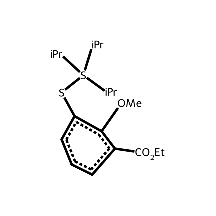 CCOC(=O)c1cccc(SS(C(C)C)(C(C)C)C(C)C)c1OC